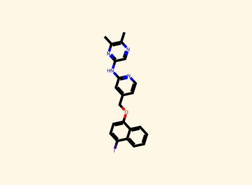 Cc1ncc(Nc2cc(COc3ccc(I)c4ccccc34)ccn2)nc1C